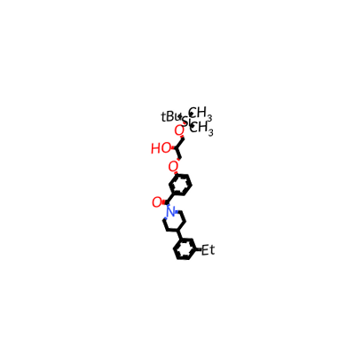 CCc1cccc(C2CCN(C(=O)c3cccc(OCC(O)CO[Si](C)(C)C(C)(C)C)c3)CC2)c1